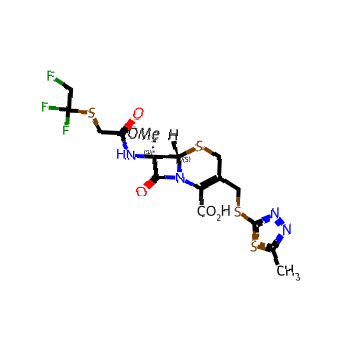 CO[C@@]1(NC(=O)CSC(F)(F)CF)C(=O)N2C(C(=O)O)=C(CSc3nnc(C)s3)CS[C@H]21